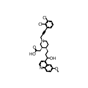 COc1ccc2nccc(C(O)CC[C@@H]3CCN(CC#Cc4cccc(Cl)c4Cl)C[C@@H]3CC(=O)O)c2c1